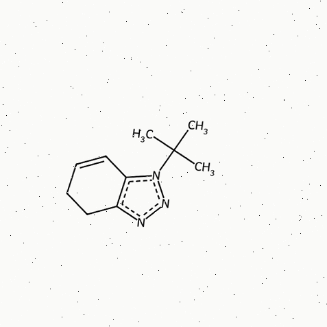 CC(C)(C)n1nnc2c1C=CCC2